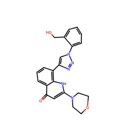 O=c1cc(N2CCOCC2)[nH]c2c(-c3cn(-c4ccccc4CO)nn3)cccc12